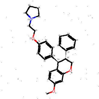 COc1ccc2c(c1)OC[C@@H](c1ccccc1)[C@@H]2c1ccc(OCCN2CCCC2)cc1